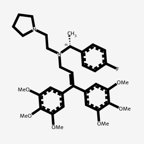 COc1cc(C(=CCN(CCN2CCCC2)[C@H](C)c2ccc(F)cc2)c2cc(OC)c(OC)c(OC)c2)cc(OC)c1OC